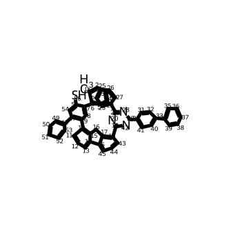 Cc1ccccc1-c1cc(-c2cccc3c2Cc2c(-c4nc(-c5ccccc5)nc(-c5ccc(-c6ccccc6)cc5)n4)cccc2-3)c(-c2ccccc2)cc1S